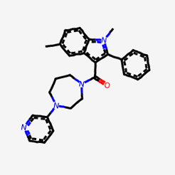 Cc1ccc2c(c1)c(C(=O)N1CCCN(c3cccnc3)CC1)c(-c1ccccc1)n2C